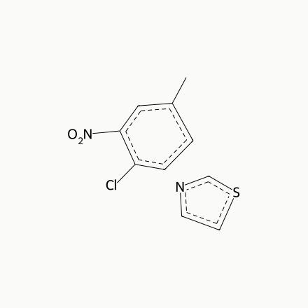 Cc1ccc(Cl)c([N+](=O)[O-])c1.c1cscn1